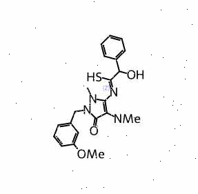 CNc1c(/N=C(\S)C(O)c2ccccc2)n(C)n(Cc2cccc(OC)c2)c1=O